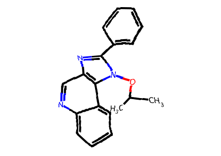 CC(C)On1c(-c2ccccc2)nc2cnc3ccccc3c21